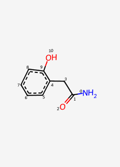 NC(=O)Cc1ccccc1O